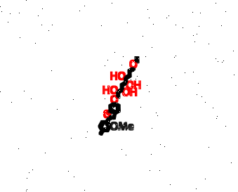 C=COCCCC(O)C(O)CC(O)C(O)COc1ccc2cc(-c3ccc(C)cc3OC)oc2c1